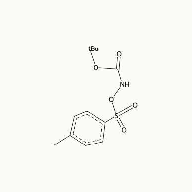 Cc1ccc(S(=O)(=O)ONC(=O)OC(C)(C)C)cc1